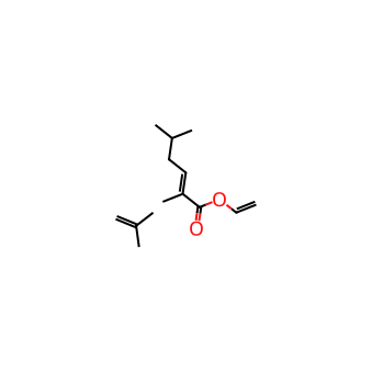 C=C(C)C.C=COC(=O)C(C)=CCC(C)C